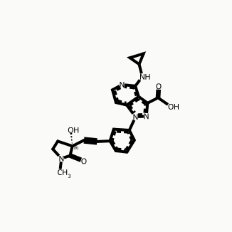 CN1CC[C@@](O)(C#Cc2cccc(-n3nc(C(=O)O)c4c(NC5CC5)nccc43)c2)C1=O